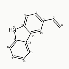 C=Cc1ccc2[nH]c3ccccc3c2c1